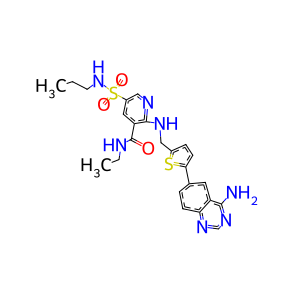 CCCNS(=O)(=O)c1cnc(NCc2ccc(-c3ccc4ncnc(N)c4c3)s2)c(C(=O)NCC)c1